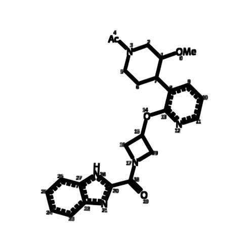 COC1CN(C(C)=O)CCC1c1cccnc1OC1CN(C(=O)c2nc3ccccc3[nH]2)C1